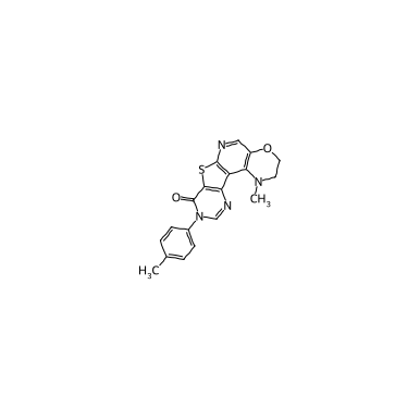 Cc1ccc(-n2cnc3c(sc4ncc5c(c43)N(C)CCO5)c2=O)cc1